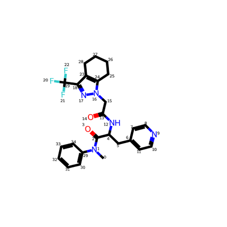 CN(C(=O)C(Cc1ccncc1)NC(=O)Cn1nc(C(F)(F)F)c2c1CCCC2)c1ccccc1